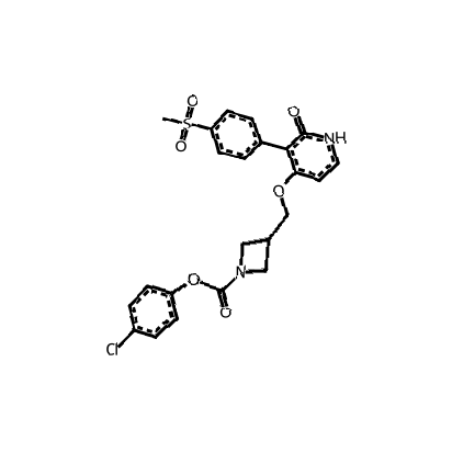 CS(=O)(=O)c1ccc(-c2c(OCC3CN(C(=O)Oc4ccc(Cl)cc4)C3)cc[nH]c2=O)cc1